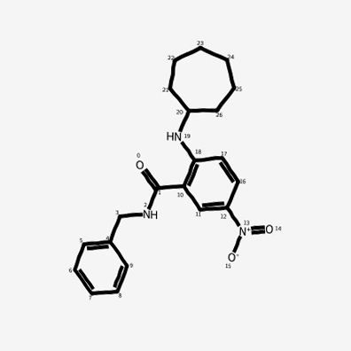 O=C(NCc1ccccc1)c1cc([N+](=O)[O-])ccc1NC1CCCCCC1